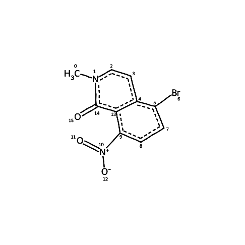 Cn1ccc2c(Br)ccc([N+](=O)[O-])c2c1=O